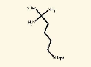 CCCCCCCCCCCC(N)(N)CCCCCC